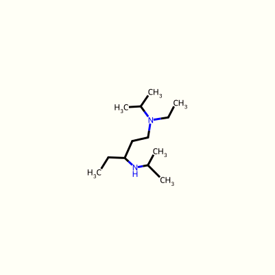 CCC(CCN(CC)C(C)C)NC(C)C